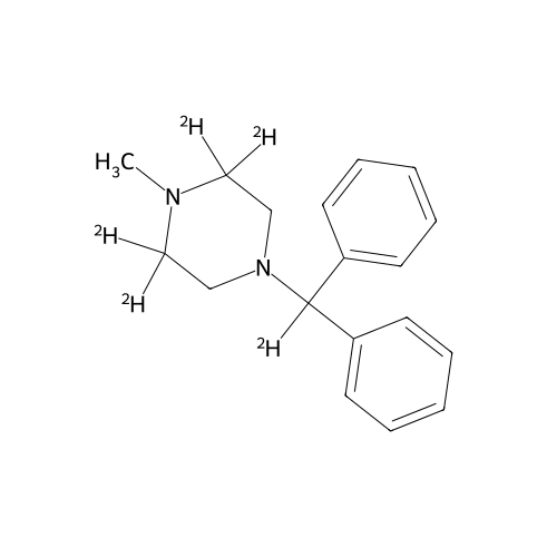 [2H]C1([2H])CN(C([2H])(c2ccccc2)c2ccccc2)CC([2H])([2H])N1C